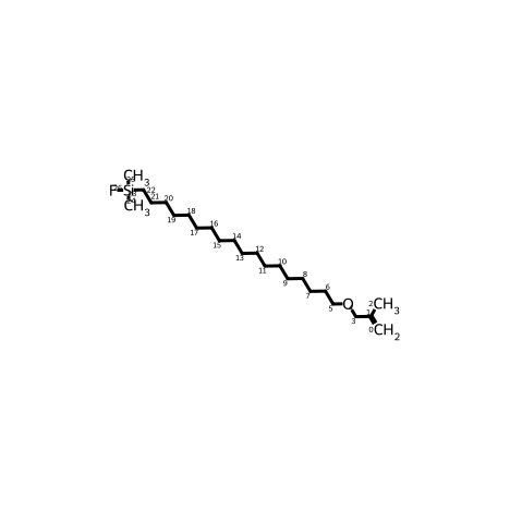 C=C(C)COCCCCCCCCCCCCCCCCCC[Si](C)(C)F